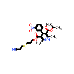 CC1=C(C(=O)OCCCSCCC#N)C(c2cccc([N+](=O)[O-])c2)C(C(=O)OC(C)C)=C(C)N1